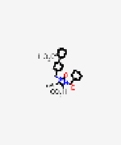 CCCc1c(C(=O)O)n(C(=O)c2ccccc2)c(=O)n1Cc1ccc(-c2ccccc2C(=O)O)cc1